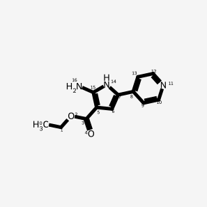 CCOC(=O)c1cc(-c2ccncc2)[nH]c1N